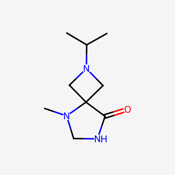 CC(C)N1CC2(C1)C(=O)NCN2C